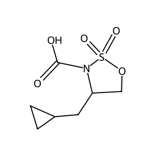 O=C(O)N1C(CC2CC2)COS1(=O)=O